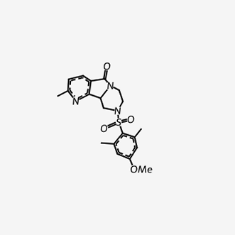 COc1cc(C)c(S(=O)(=O)N2CCN3C(=O)c4ccc(C)nc4C3C2)c(C)c1